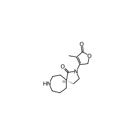 CC1=C(N2CC[C@@]3(CCCNCC3)C2=O)COC1=O